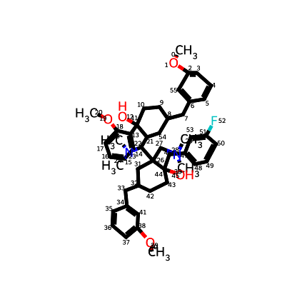 COc1cccc(CC2CCC(O)(c3ccccc3OC)C(C(N(C)C)C3(CN(C)C)CC(Cc4cccc(OC)c4)CCC3(O)Cc3cccc(F)c3)C2)c1